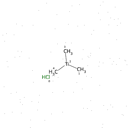 Cl.[CH3][Ti]([CH3])[CH3]